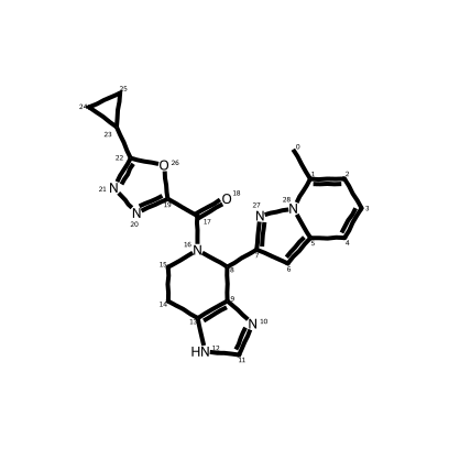 Cc1cccc2cc(C3c4nc[nH]c4CCN3C(=O)c3nnc(C4CC4)o3)nn12